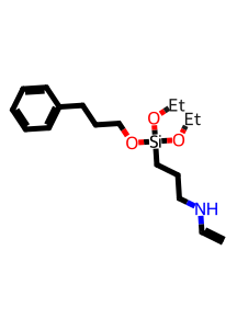 C=CNCCC[Si](OCC)(OCC)OCCCc1ccccc1